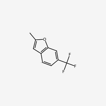 Cc1cc2[c]cc(C(F)(F)F)cc2o1